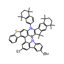 CCc1cc2c3c(c1)c1cc(C(C)(C)C)ccc1n3B1C3=C(c4cc5c(cc4C3(C)C)C(C)(C)CCC5(C)C)N(c3ccc4c(c3)C(C)(C)CCC4(C)C)c3cc4sc5ccccc5c4c-2c31